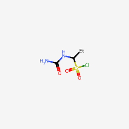 CCC(NC(N)=O)S(=O)(=O)Cl